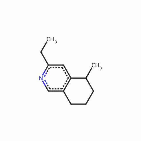 CCc1cc2c(cn1)CCCC2C